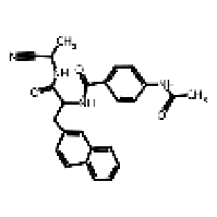 CC(=O)Nc1ccc(C(=O)NC(Cc2ccc3ccccc3c2)C(=O)NC(C)C#N)cc1